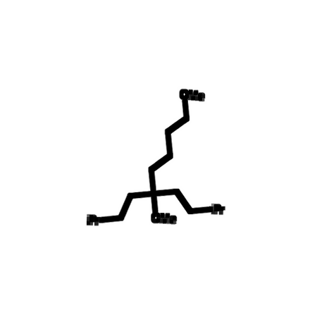 COCCCCC(CCC(C)C)(CCC(C)C)OC